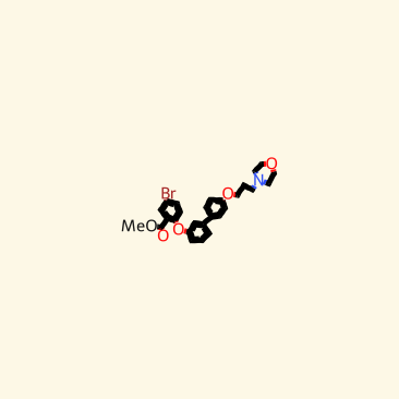 COC(=O)c1cc(Br)ccc1Oc1cccc(-c2ccc(OCCCN3CCOCC3)cc2)c1